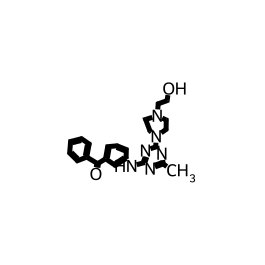 Cc1nc(Nc2cccc(C(=O)c3ccccc3)c2)nc(N2CCN(CCO)CC2)n1